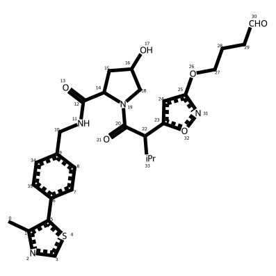 Cc1ncsc1-c1ccc(CNC(=O)C2CC(O)CN2C(=O)C(c2cc(OCCCC=O)no2)C(C)C)cc1